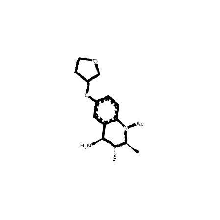 CC(=O)N1c2ccc(OC3CCOC3)cc2[C@H](N)[C@@H](C)[C@@H]1C